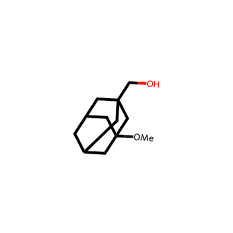 COC12CC3CC(CC(CO)(C3)C1)C2